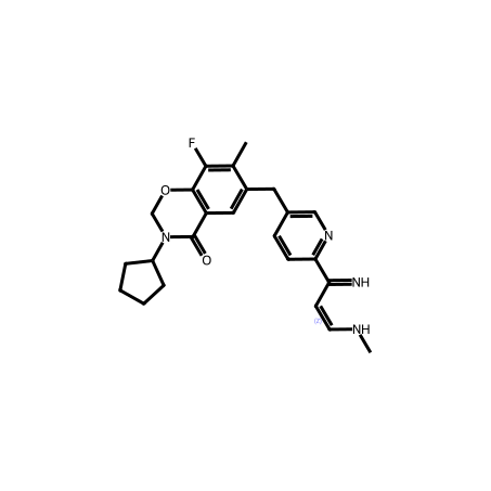 CN/C=C\C(=N)c1ccc(Cc2cc3c(c(F)c2C)OCN(C2CCCC2)C3=O)cn1